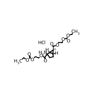 CCOC(=O)OCCOC(=O)[C@H]1[C@@H]2CC[C@@](N)(C(=O)OCCOC(=O)OCC)[C@@H]21.Cl